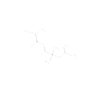 CC(C)CC(C)(C)COC(=O)C(C)C